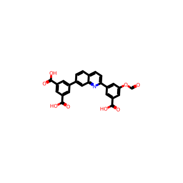 O=COc1cc(C(=O)O)cc(-c2ccc3ccc(-c4cc(C(=O)O)cc(C(=O)O)c4)cc3n2)c1